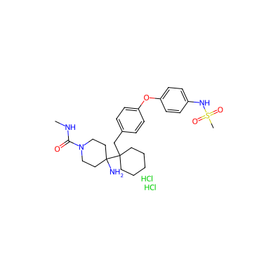 CNC(=O)N1CCC(N)(C2(Cc3ccc(Oc4ccc(NS(C)(=O)=O)cc4)cc3)CCCCC2)CC1.Cl.Cl